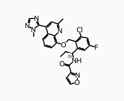 CC[C@H](NC(=O)c1ccon1)c1cc(F)cc(Cl)c1COc1cccc2c(-c3ncnn3C)cc(C)nc12